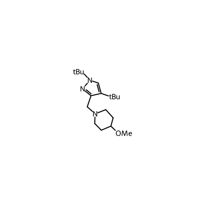 COC1CCN(Cc2nn(C(C)(C)C)cc2C(C)(C)C)CC1